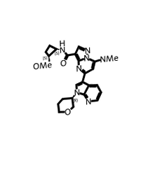 CNc1cc(-c2cn([C@@H]3CCCOC3)c3ncccc23)nc2c(C(=O)N[C@H]3CC[C@@H]3OC)cnn12